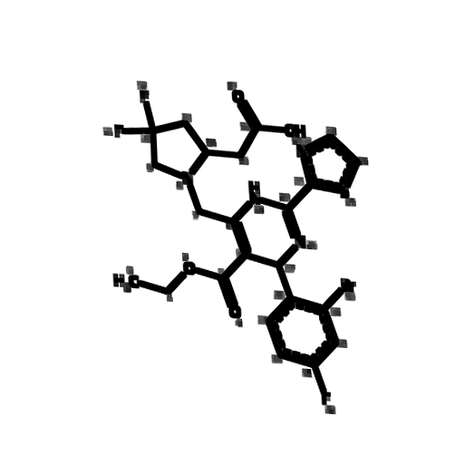 CCOC(=O)C1=C(CN2CC(F)(F)CC2CC(=O)O)NC(c2nccs2)=NC1c1ccc(F)cc1Br